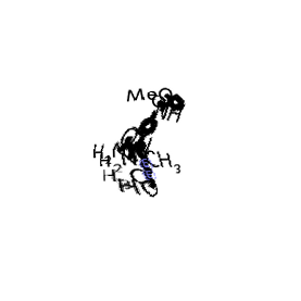 COc1ccccc1C(=O)NCc1ccc(-c2nn(/C(C)=C/C=C(\C)CO)c(N)c2C(N)=O)cc1